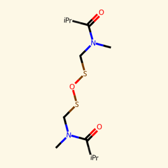 CC(C)C(=O)N(C)CSOSCN(C)C(=O)C(C)C